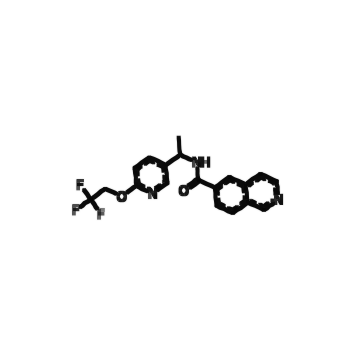 CC(NC(=O)c1ccc2cnccc2c1)c1ccc(OCC(F)(F)F)nc1